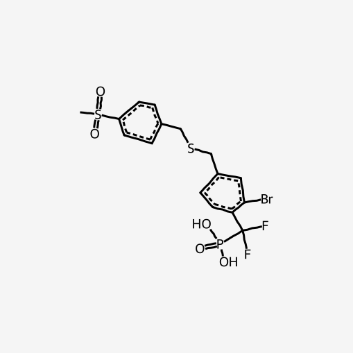 CS(=O)(=O)c1ccc(CSCc2ccc(C(F)(F)P(=O)(O)O)c(Br)c2)cc1